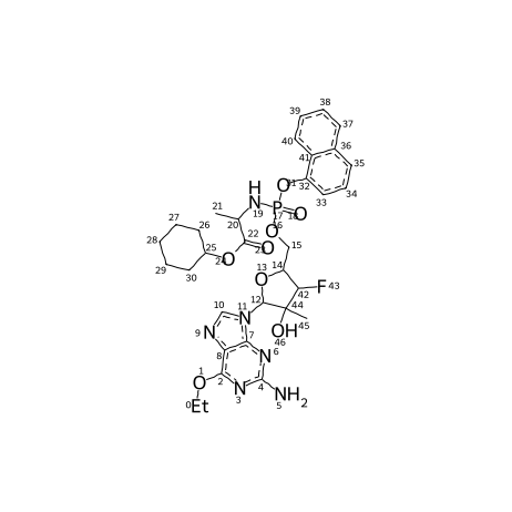 CCOc1nc(N)nc2c1ncn2C1OC(COP(=O)(NC(C)C(=O)OC2CCCCC2)Oc2cccc3ccccc23)C(F)C1(C)O